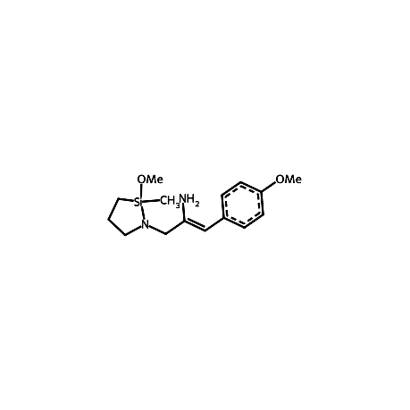 COc1ccc(C=C(N)CN2CCC[Si]2(C)OC)cc1